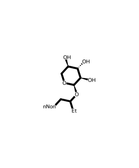 CCCCCCCCCCC(CC)O[C@H]1OC[C@@H](O)[C@H](O)[C@H]1O